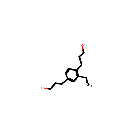 CCc1cc(CCCO)ccc1CCCO